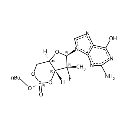 CCCCO[P@]1(=O)OC[C@H]2O[C@@H](n3cnc4c(O)nc(N)nc43)[C@](C)(F)[C@@H]2O1